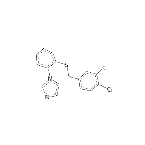 Clc1ccc(CSc2ccccc2-n2ccnc2)cc1Cl